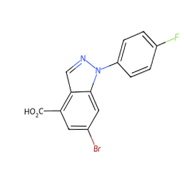 O=C(O)c1cc(Br)cc2c1cnn2-c1ccc(F)cc1